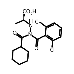 C[C@H](NN(C(=O)c1c(Cl)cccc1Cl)C(=O)C1CCCCC1)C(=O)O